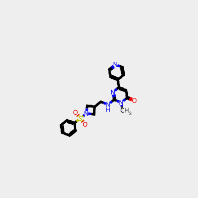 Cn1c(NCC2CN(S(=O)(=O)c3ccccc3)C2)nc(-c2ccncc2)cc1=O